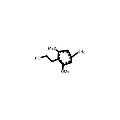 COc1cc(C)cc(OC)c1CCO